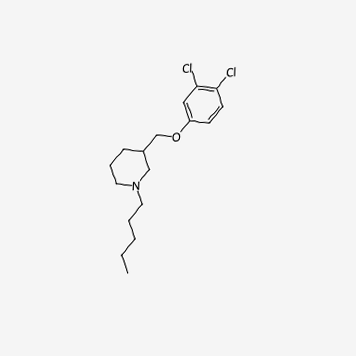 CCCCCN1CCCC(COc2ccc(Cl)c(Cl)c2)C1